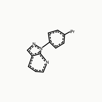 CC(C)c1ccc(-n2ncc3cccnc32)cc1